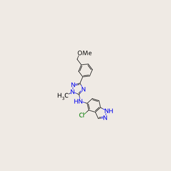 COCc1cccc(-c2nc(Nc3ccc4[nH]ncc4c3Cl)n(C)n2)c1